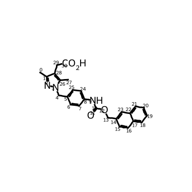 Cc1nn(Cc2ccc(NC(=O)OCc3ccc4ccccc4c3)cc2)c(C)c1CC(=O)O